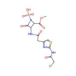 COC(=O)C1C(NC(=O)Cc2csc(NC(=O)CCl)n2)C(=O)N1S(=O)(=O)O